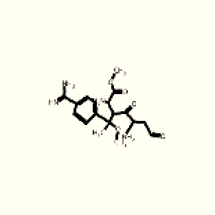 COC(=O)C(N)C(C(=O)C(N)CC=O)C(C)(OC)c1ccc(C(=N)N)cc1